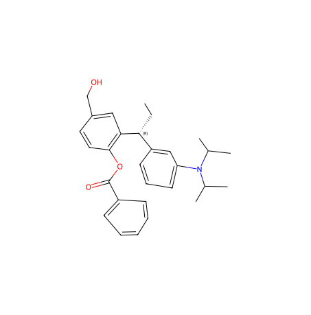 CC[C@H](c1cccc(N(C(C)C)C(C)C)c1)c1cc(CO)ccc1OC(=O)c1ccccc1